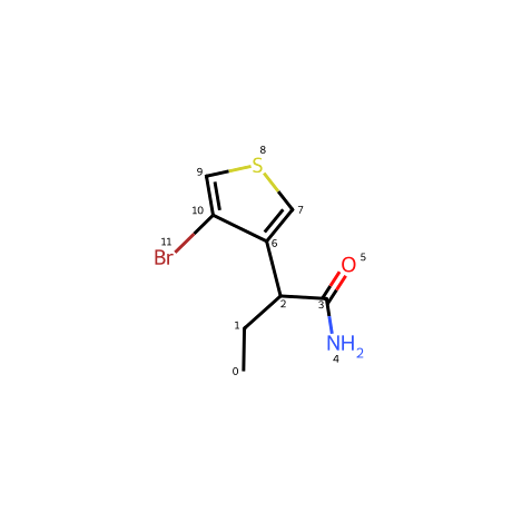 CCC(C(N)=O)c1cscc1Br